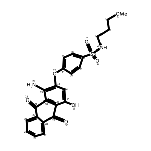 COCCCNS(=O)(=O)c1ccc(Oc2cc(O)c3c(c2N)C(=O)c2ccccc2C3=O)cc1